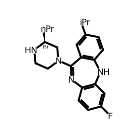 CCC[C@H]1CN(C2=Nc3ccc(F)cc3Nc3ccc(C(C)C)cc32)CCN1